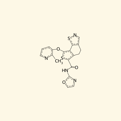 Cc1ncccc1Oc1sc(C(=O)Nc2ncco2)c2c1-c1sncc1CC2